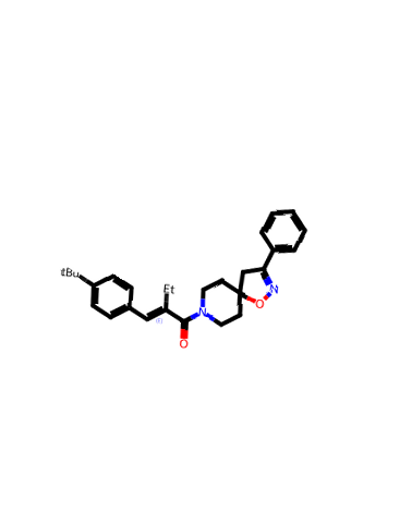 CC/C(=C\c1ccc(C(C)(C)C)cc1)C(=O)N1CCC2(CC1)CC(c1ccccc1)=NO2